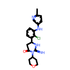 Cc1ccc(Nc2cccc(C3CC(=O)N(C4CCOCC4)C(=N)N3)c2Cl)cn1